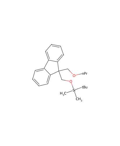 CCCOCC1(CO[Si](C)(C)C(C)(C)C)c2ccccc2-c2ccccc21